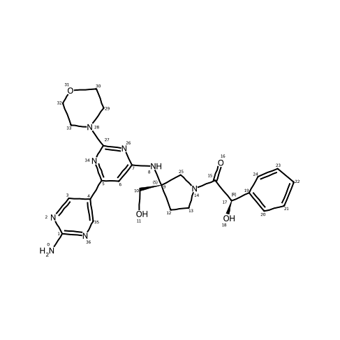 Nc1ncc(-c2cc(N[C@@]3(CO)CCN(C(=O)[C@H](O)c4ccccc4)C3)nc(N3CCOCC3)n2)cn1